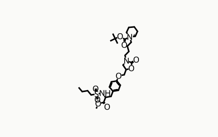 CCCCS(=O)(=O)NC(Cc1ccc(OCC2CN(CCCC[N+]3(C(=O)OC(C)(C)C)CCCCC3)C(=O)O2)cc1)C(=O)OC